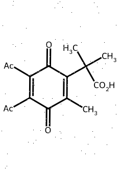 CC(=O)C1=C(C(C)=O)C(=O)C(C(C)(C)C(=O)O)=C(C)C1=O